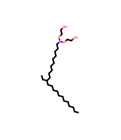 CCCCCCCCCCCCC(CC)CCCCCCCCCCN(OCCO)OCCO